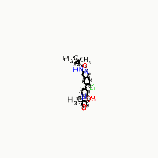 CC1(C)C[C@H]1C(=O)Nc1cc2cc(C3CCN([C@@]4(C)COC[C@H]4O)CC3)c(Cl)cc2cn1